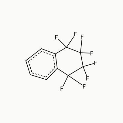 FC1(F)c2ccccc2C(F)(F)C(F)(F)C1(F)F